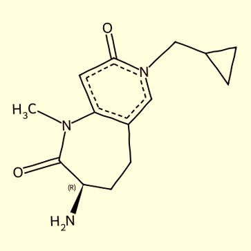 CN1C(=O)[C@H](N)CCc2cn(CC3CC3)c(=O)cc21